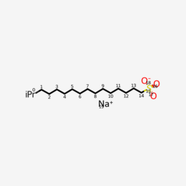 CC(C)CCCCCCCCCCCCCCS(=O)(=O)[O-].[Na+]